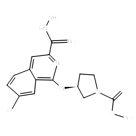 CC(C)(C)OC(=O)N1CC[C@H](Nc2nc(C(=N)NN)cc3ccc(Cl)cc23)C1